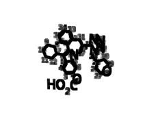 O=C(O)Oc1ccc2c(C3CCCCC3)c3n(c2c1)C=C(c1nnnn1CC1CCOCC1)Cc1ccccc1-3